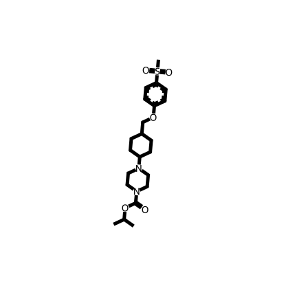 CC(C)OC(=O)N1CCN(C2CCC(COc3ccc(S(C)(=O)=O)cc3)CC2)CC1